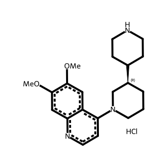 COc1cc2nccc(N3CCC[C@H](C4CCNCC4)C3)c2cc1OC.Cl